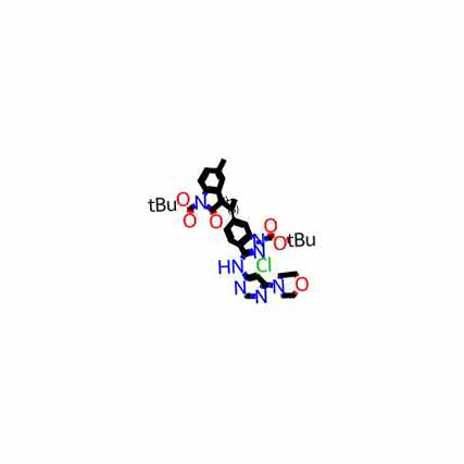 Cc1ccc2c(c1)[C@]1(C[C@H]1c1ccc3c(Nc4ncnc(N5CCOCC5)c4Cl)nn(C(=O)OC(C)(C)C)c3c1)C(=O)N2C(=O)OC(C)(C)C